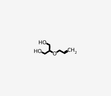 C=CCOC(CO)CO